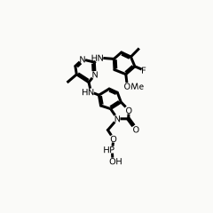 COc1cc(Nc2ncc(C)c(Nc3ccc4oc(=O)n(COPO)c4c3)n2)cc(C)c1F